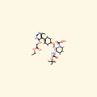 CCOC(=O)COc1ncnc(C)c1C1=CCC(OC[C@H]2[C@@H](NC(=O)OC(C)(C)C)CCCN2C(=O)O)CC1